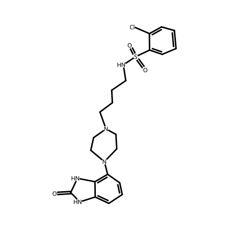 O=c1[nH]c2cccc(N3CCN(CCCCNS(=O)(=O)c4ccccc4Cl)CC3)c2[nH]1